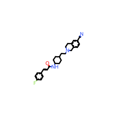 N#Cc1ccc2c(c1)CCN(CCC1CCC(NC(=O)C=Cc3ccc(F)cc3)CC1)C2